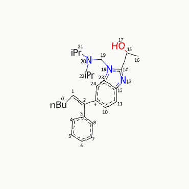 CCCCC=C(c1ccccc1)c1ccc2nc(C(C)O)n(CN(C(C)C)C(C)C)c2c1